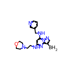 Bc1cnn2c(NCc3cccnc3)cc(NCCN3CCOCC3)nc12